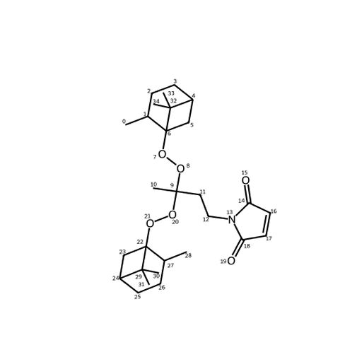 CC1CCC2CC1(OOC(C)(CCN1C(=O)C=CC1=O)OOC13CC(CCC1C)C3(C)C)C2(C)C